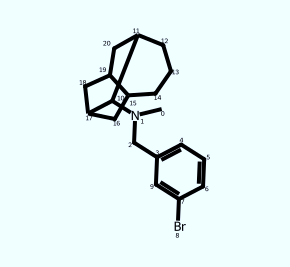 CN(Cc1cccc(Br)c1)C1C2CCCC3CC1CC3C2